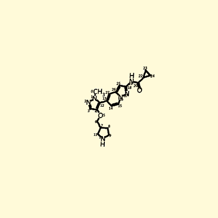 Cn1ncc(OCC2CCNC2)c1-c1ccn2nc(NC(=O)C3CC3)cc2c1